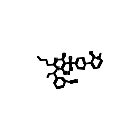 CCCCc1nc(=O)c(S(=O)(=O)c2ccc(-c3cccn(C)c3=O)cc2)c(O)n1C(CC)c1cccc(C#N)c1